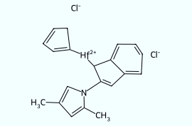 Cc1cc(C)n(C2=Cc3ccccc3[CH]2[Hf+2][C]2=CC=CC2)c1.[Cl-].[Cl-]